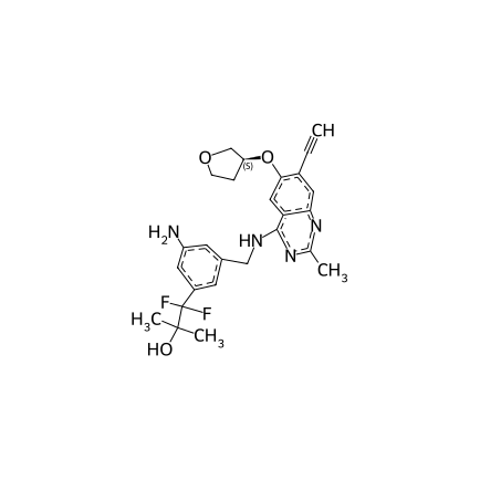 C#Cc1cc2nc(C)nc(NCc3cc(N)cc(C(F)(F)C(C)(C)O)c3)c2cc1O[C@H]1CCOC1